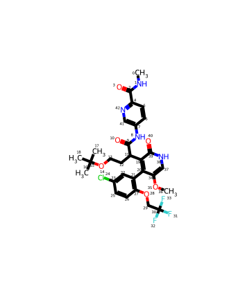 CNC(=O)c1ccc(NC(=O)C(CCOC(C)(C)C)c2c(-c3cc(Cl)ccc3OCC(F)(F)F)c(OC)c[nH]c2=O)cn1